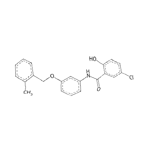 Cc1ccccc1COc1cccc(NC(=O)c2cc(Cl)ccc2O)c1